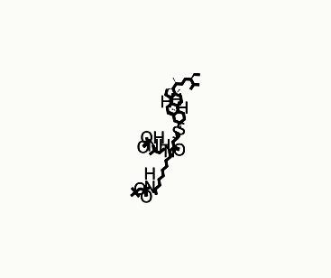 CC[C@H](CC[C@@H](C)[C@H]1CC[C@H]2[C@@H]3CC=C4C[C@@H](SSCCC(=O)N(CCCCCCCC(C)NC(=O)OC(C)(C)C)CCC(C)NC(=O)O)CC[C@]4(C)[C@H]3CC[C@]12C)C(C)C